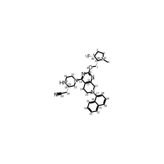 CN1CC[C@@H](F)[C@H]1COc1nc2c(c(N3CCN[C@@H](CC#N)C3)n1)CCN(c1cccc3ccccc13)C2